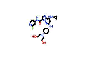 O=C(Nc1ccnc(F)c1)c1cnc2c(NC3CC3)cc(N[C@H]3CC[C@H](N(CCO)CCO)CC3)nn12